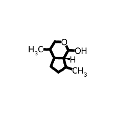 CC1COC(O)[C@@H]2C(C)CCC12